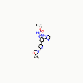 CCOC(=O)Nc1nc2cc(-c3ccc(CN4CCOC(C)C4)nc3)cc(-c3ncccn3)c2[nH]1